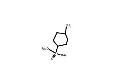 COP(=O)(OC)C1CCC(N)CC1